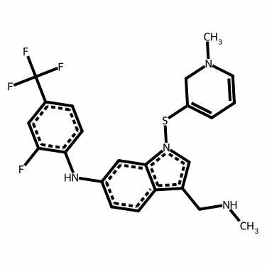 CNCc1cn(SC2=CC=CN(C)C2)c2cc(Nc3ccc(C(F)(F)F)cc3F)ccc12